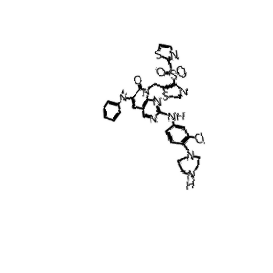 CN(c1ccccc1)c1cc2cnc(Nc3ccc(N4CCNCC4)c(Cl)c3)nc2n(Cc2scnc2S(=O)(=O)c2nccs2)c1=O